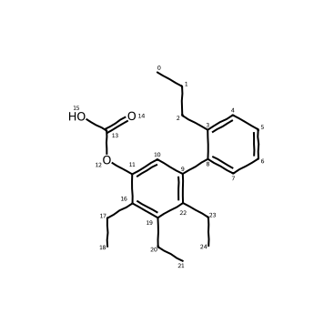 CCCc1ccccc1-c1cc(OC(=O)O)c(CC)c(CC)c1CC